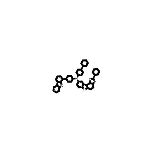 c1ccc(-c2ccc(N(c3ccc(-c4cccc5c4oc4ccccc45)cc3)c3ccc4oc5ccc6nc(-c7ccccc7)oc6c5c4c3)cc2)cc1